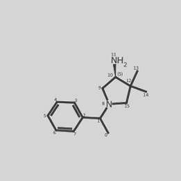 CC(c1ccccc1)N1C[C@@H](N)C(C)(C)C1